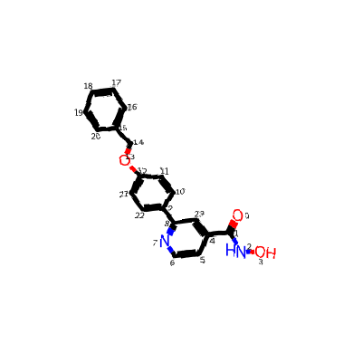 O=C(NO)c1ccnc(-c2ccc(OCc3ccccc3)cc2)c1